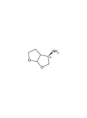 N[C@H]1COC2OCCC21